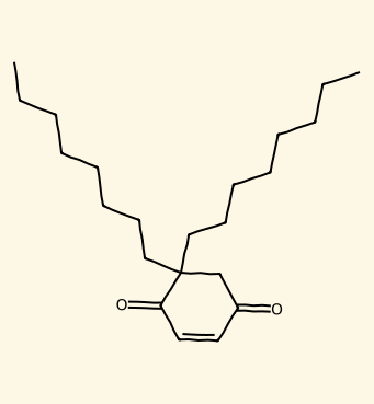 CCCCCCCCC1(CCCCCCCC)CC(=O)C=CC1=O